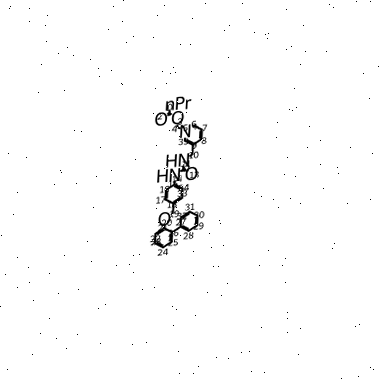 CCCC(=O)OC[n+]1cccc(CNC(=O)Nc2ccc(COc3ccccc3-c3ccccc3)cc2)c1